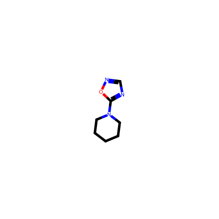 c1noc(N2CCCCC2)n1